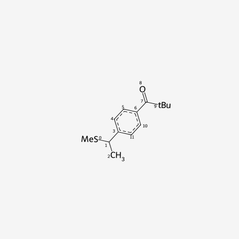 CSC(C)c1ccc(C(=O)C(C)(C)C)cc1